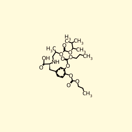 CCCOC(=O)Oc1ccc(C[C@H](NCC(C)OC(=O)OC(C)C(C)C)C(=O)O)cc1OC(=O)OCCC